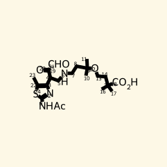 CC(=O)Nc1nc(C(CNCCC(C)(C)OCCC(C)(C)C(=O)O)C(=O)C=O)c(C)s1